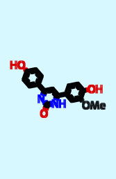 COc1cc(-c2cc(-c3ccc(O)cc3)nc(=O)[nH]2)ccc1O